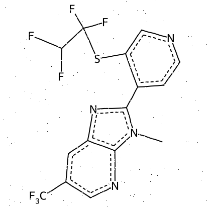 Cn1c(-c2ccncc2SC(F)(F)C(F)F)nc2cc(C(F)(F)F)cnc21